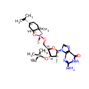 C=C(C)[C@@H]1CC[C@]2(C)SP(=S)(OC[C@H]3O[C@@H](n4cnc5c(=O)[nH]c(N)nc54)[C@H](F)[C@@H]3O[Si](C)(C)C(C)(C)C)O[C@H]2C1